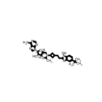 CC1O[C@H]2[C@@H](O)[C@H](n3cnc4c(N)ncnc43)O[C@@H]2CN1C1CC(CCc2nc3cc(C(C)(C)C)ccc3n2O)C1